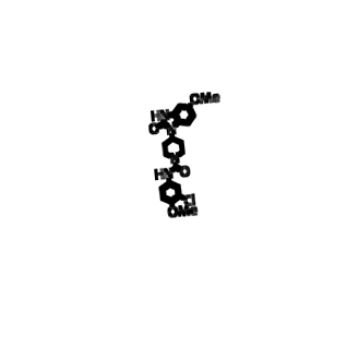 COc1ccc2c(c1)[nH]c(=O)n2C1CCN(C(=O)Nc2ccc(OC)c(Cl)c2)CC1